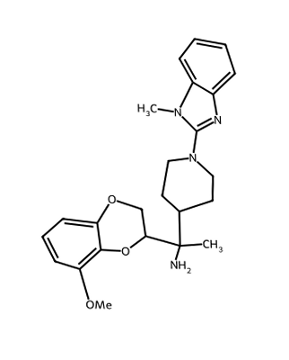 COc1cccc2c1OC(C(C)(N)C1CCN(c3nc4ccccc4n3C)CC1)CO2